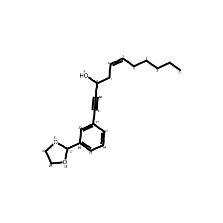 CCCCC/C=C\CC(O)C#Cc1cccc(C2OCCO2)c1